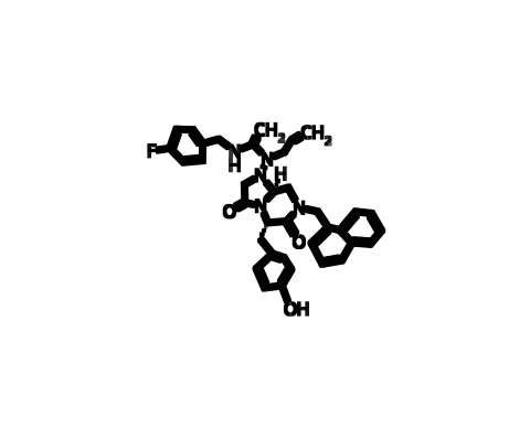 C=CCN(C(=C)NCc1ccc(F)cc1)N1CC(=O)N2[C@@H](Cc3ccc(O)cc3)C(=O)N(Cc3cccc4ccccc34)C[C@@H]21